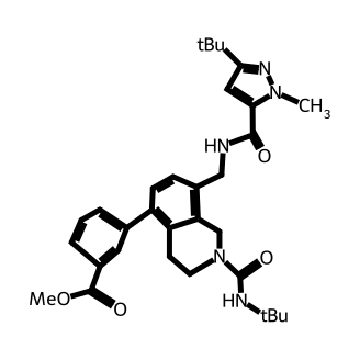 COC(=O)c1cccc(-c2ccc(CNC(=O)c3cc(C(C)(C)C)nn3C)c3c2CCN(C(=O)NC(C)(C)C)C3)c1